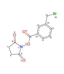 O=C(ON1C(=O)CCC1=O)c1cccc(CBr)c1